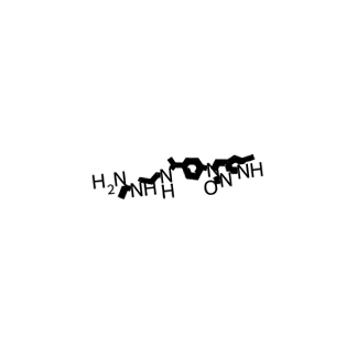 C=C(N)NCCCNC(C)c1ccc(-n2cc3cc(C)[nH]c3nc2=O)cc1